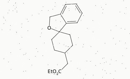 CCOC(=O)CC1CCC2(CC1)OCc1ccccc12